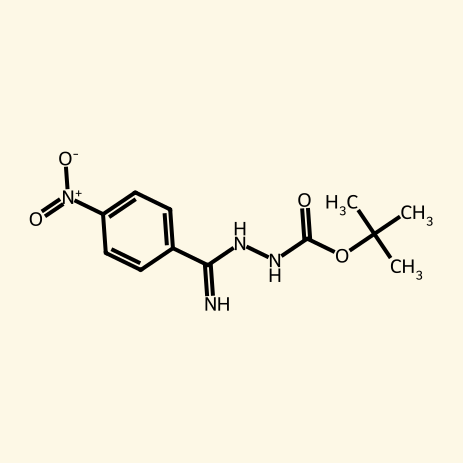 CC(C)(C)OC(=O)NNC(=N)c1ccc([N+](=O)[O-])cc1